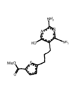 COC(=O)c1ccc(CCCc2c(N)nc(N)nc2O)s1